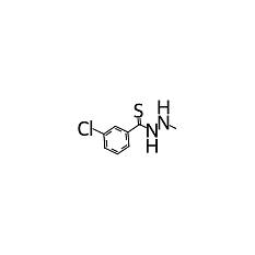 CNNC(=S)c1cccc(Cl)c1